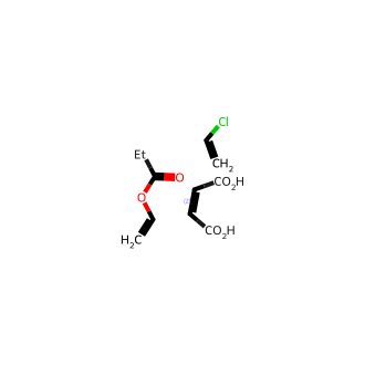 C=CCl.C=COC(=O)CC.O=C(O)/C=C\C(=O)O